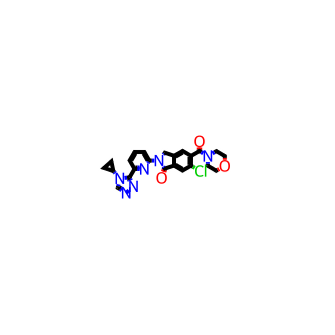 O=C(c1cc2c(cc1Cl)C(=O)N(c1cccc(-c3nncn3C3CC3)n1)C2)N1CCOCC1